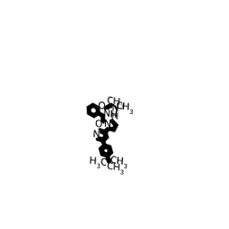 CNC(C)C(=O)N[C@H](C(=O)N1CCCC1c1cncc(-c2ccc(C(C)(C)C)cc2)c1)C1CCCCC1